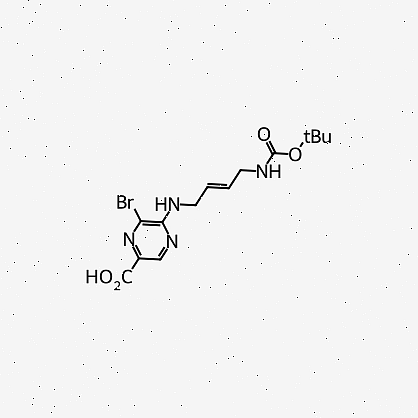 CC(C)(C)OC(=O)NC/C=C/CNc1ncc(C(=O)O)nc1Br